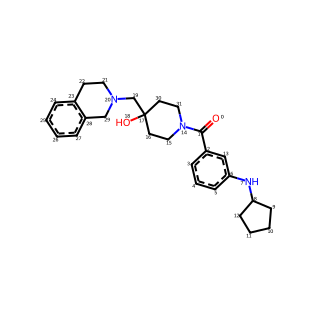 O=C(c1cccc(NC2CCCC2)c1)N1CCC(O)(CN2CCc3ccccc3C2)CC1